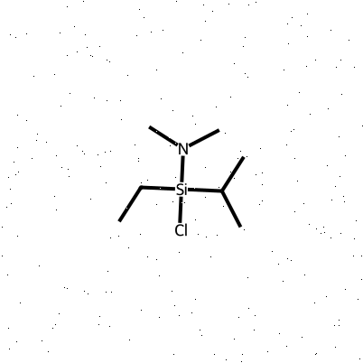 CC[Si](Cl)(C(C)C)N(C)C